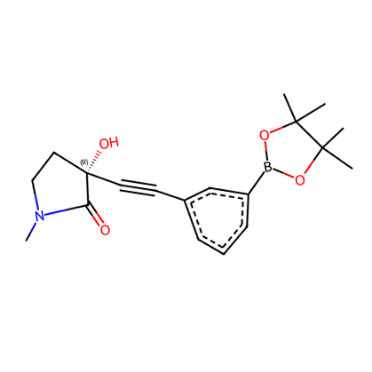 CN1CC[C@@](O)(C#Cc2cccc(B3OC(C)(C)C(C)(C)O3)c2)C1=O